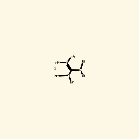 CCCN(CCC)C(N(CC)CC)=[N+](CCC)CCC.[Cl-]